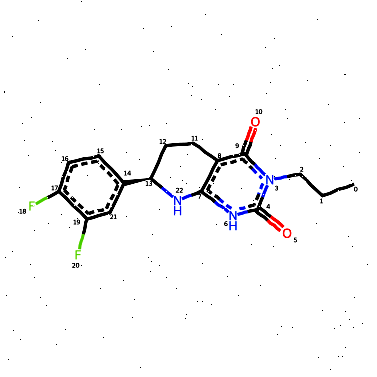 CCCn1c(=O)[nH]c2c(c1=O)CC[C@H](c1ccc(F)c(F)c1)N2